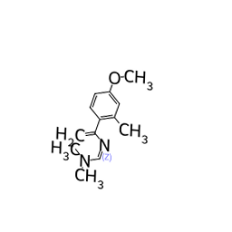 C=C(/N=C\N(C)C)c1ccc(OC)cc1C